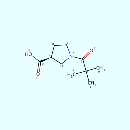 CC(C)(C)C(=O)N1CC[C@H](C(=O)O)C1